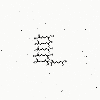 O=C(O)CCCCC(=O)O.O=C(O)CCCCC(=O)O.O=C(O)CCCCC(=O)O.O=C(O)CCCCC(=O)O.O=C(O)CCCCC(=O)O.O=C(O)CCCCC(=O)O